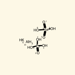 O=P(O)(O)O.O=[Se](=O)(O)O.[AlH3].[KH]